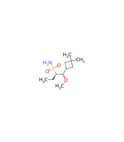 CC[C@H]([C@H](OC)C1CC(C)(C)C1)S(N)(=O)=O